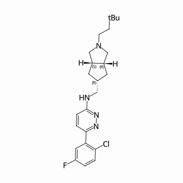 CC(C)(C)CCN1C[C@H]2C[C@@H](CNc3ccc(-c4cc(F)ccc4Cl)nn3)C[C@H]2C1